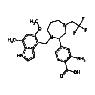 COc1cc(C)c2[nH]ccc2c1CN1CCCN(CC(F)(F)F)CC1c1ccc(C(=O)O)c(N)c1